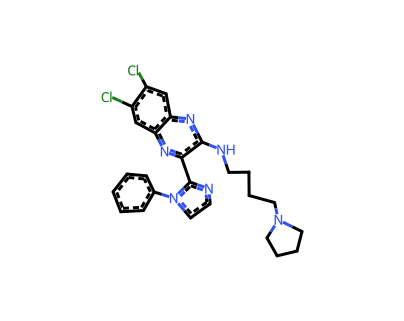 Clc1cc2nc(NCCCCN3CCCC3)c(-c3nccn3-c3ccccc3)nc2cc1Cl